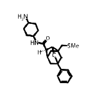 CSCC12CC3CC(c4ccccc4)(CC1[C@@H]3C(=O)NC1CCC(N)CC1)C2